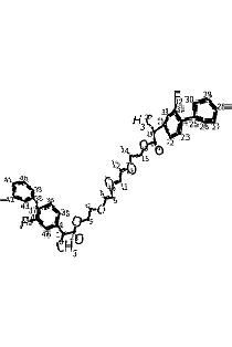 CC(C(=O)OCCOCCOCCOCCOC(=O)C(C)c1ccc(-c2ccccc2)c(F)c1)c1ccc(-c2ccccc2)c(F)c1